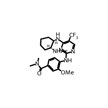 COc1cc(C(=O)N(C)C)ccc1Nc1ncc(C(F)(F)F)c(N[C@@H]2CCCC[C@H]2NC(C)=O)n1